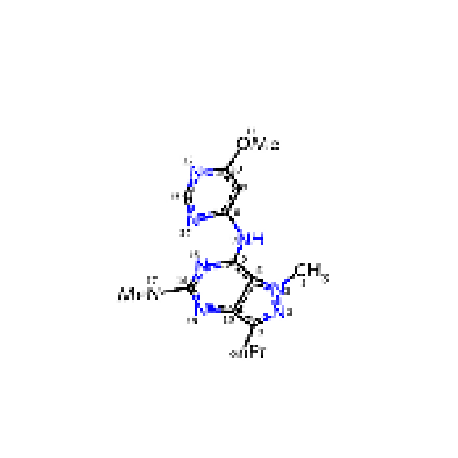 CCCc1nn(C)c2c(Nc3cc(OC)ncn3)nc(NC)nc12